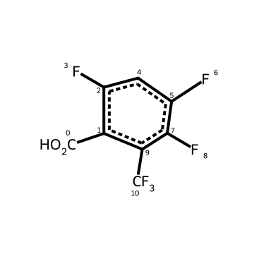 O=C(O)c1c(F)cc(F)c(F)c1C(F)(F)F